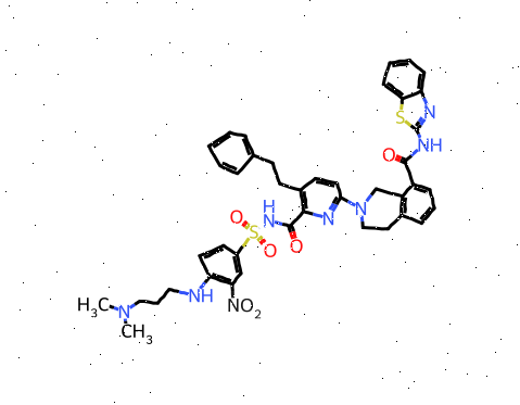 CN(C)CCCNc1ccc(S(=O)(=O)NC(=O)c2nc(N3CCc4cccc(C(=O)Nc5nc6ccccc6s5)c4C3)ccc2CCc2ccccc2)cc1[N+](=O)[O-]